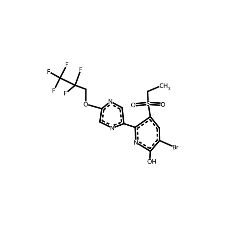 CCS(=O)(=O)c1cc(Br)c(O)nc1-c1cnc(OCC(F)(F)C(F)(F)F)cn1